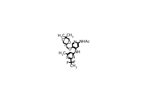 CC(=O)Nc1cc(Nc2cc(C)nc(C(C)(F)F)n2)c(OC[C@H]2COC(C)(C)CO2)cn1